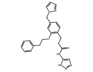 O=C(CCc1ccc(Cn2cccn2)cc1OCCc1ccccc1)Nc1nnn[nH]1